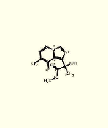 COC(=O)C(C)(O)c1ncn2ccc(Cl)c(F)c12